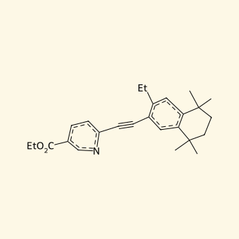 CCOC(=O)c1ccc(C#Cc2cc3c(cc2CC)C(C)(C)CCC3(C)C)nc1